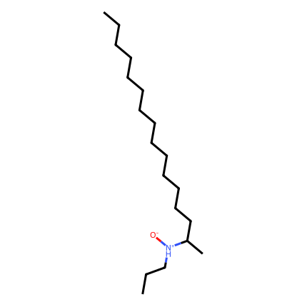 CCCCCCCCCCCCCCC(C)[NH+]([O-])CCC